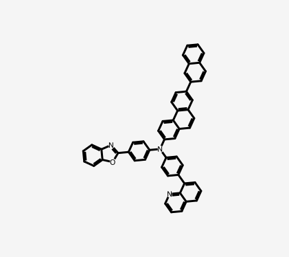 c1ccc2cc(-c3ccc4c(ccc5cc(N(c6ccc(-c7nc8ccccc8o7)cc6)c6ccc(-c7cccc8cccnc78)cc6)ccc54)c3)ccc2c1